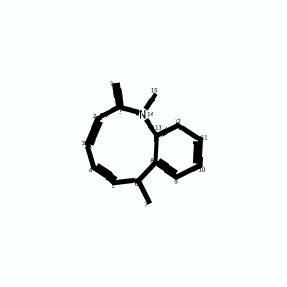 C=C1/C=C\C=C/C(C)C2=CC=CCC2N1C